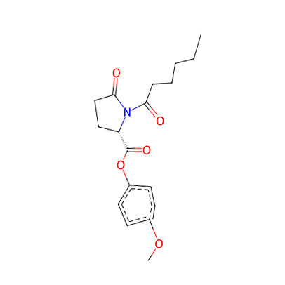 CCCCCC(=O)N1C(=O)CC[C@H]1C(=O)Oc1ccc(OC)cc1